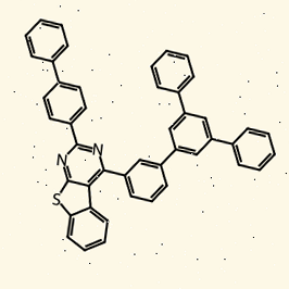 c1ccc(-c2ccc(-c3nc(-c4cccc(-c5cc(-c6ccccc6)cc(-c6ccccc6)c5)c4)c4c(n3)sc3ccccc34)cc2)cc1